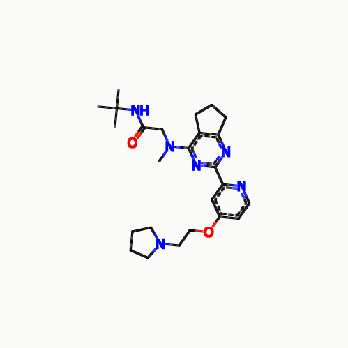 CN(CC(=O)NC(C)(C)C)c1nc(-c2cc(OCCN3CCCC3)ccn2)nc2c1CCC2